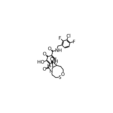 C#C[C@H]1[C@@H]2CCOSCCN1C(=O)c1c(O)c(=O)c(C(=O)NCc3ccc(F)c(Cl)c3F)cn12